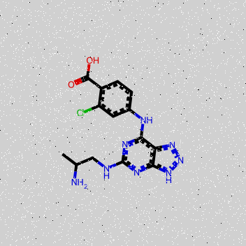 CC(N)CNc1nc(Nc2ccc(C(=O)O)c(Cl)c2)c2nn[nH]c2n1